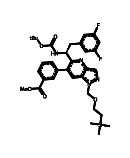 COC(=O)c1cccc(-c2cc3c(cnn3COCC[Si](C)(C)C)nc2[C@H](Cc2cc(F)cc(F)c2)NC(=O)OC(C)(C)C)c1